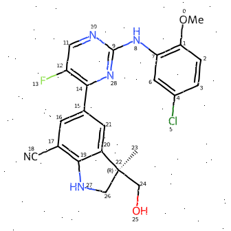 COc1ccc(Cl)cc1Nc1ncc(F)c(-c2cc(C#N)c3c(c2)[C@@](C)(CO)CN3)n1